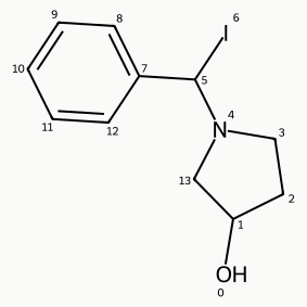 OC1CCN(C(I)c2ccccc2)C1